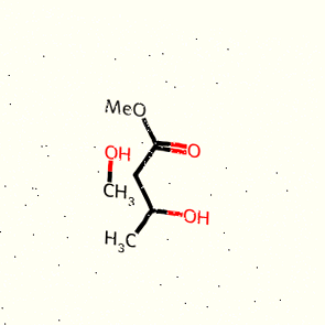 CO.COC(=O)CC(C)O